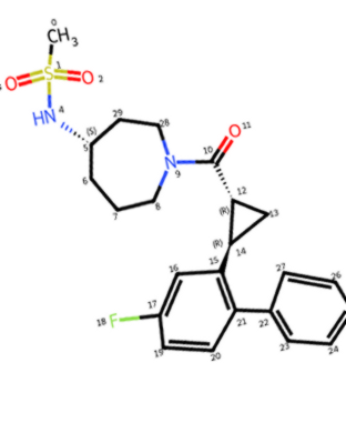 CS(=O)(=O)N[C@H]1CCCN(C(=O)[C@@H]2C[C@H]2c2cc(F)ccc2-c2ccccc2)CC1